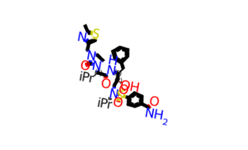 Cc1nc(CN2CCN([C@H](C(=O)N[C@@H](Cc3ccccc3)[C@H](O)CN(CC(C)C)S(=O)(=O)c3ccc(C(N)=O)cc3)C(C)C)C2=O)cs1